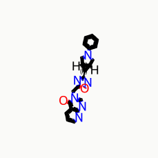 O=c1c2cccnc2ncn1Cc1nc([C@H]2[C@@H]3CN(c4ccccc4)C[C@@H]32)no1